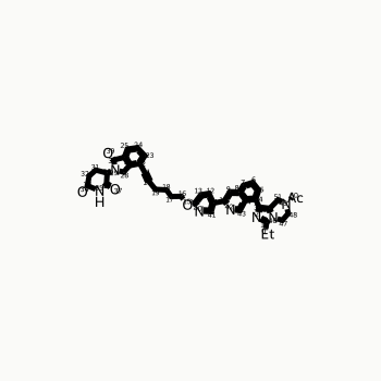 CCc1nc(-c2cccc3cc(-c4ccc(OCCCCC#Cc5cccc6c5CN(C5CCC(=O)NC5=O)C6=O)nc4)ncc23)c2n1CCN(C(C)=O)C2